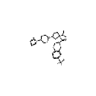 CC(C)C1(C(=O)N2CCc3c(F)cc(C(F)(F)F)cc3C2)CCC(N2CCC(n3ccnn3)CC2)C1